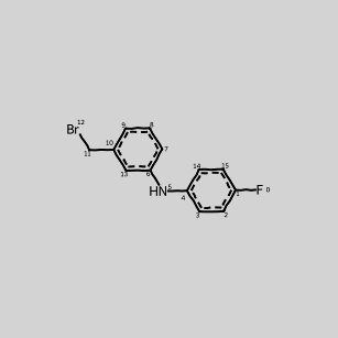 Fc1ccc(Nc2cccc(CBr)c2)cc1